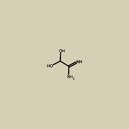 N=C(N)C(O)O